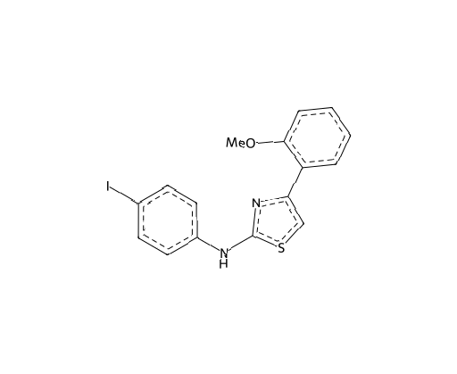 COc1ccccc1-c1csc(Nc2ccc(I)cc2)n1